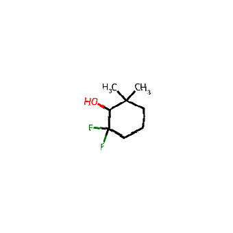 CC1(C)CCCC(F)(F)C1O